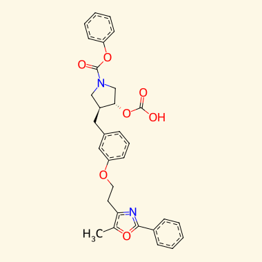 Cc1oc(-c2ccccc2)nc1CCOc1cccc(C[C@H]2CN(C(=O)Oc3ccccc3)C[C@@H]2OC(=O)O)c1